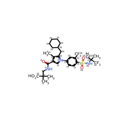 Cc1c(C(=O)NCC(C)(C)C(=O)O)cn(-c2ccc(S(=O)(=O)NC(C)(C)C(F)(F)F)c(C(F)(F)F)c2)c1CC1CCCCC1